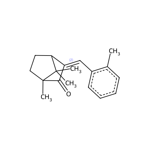 Cc1ccccc1/C=C1\C(=O)C2(C)CCC1C2(C)C